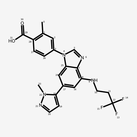 Cc1cc(-n2cnc3c(NCCC(F)(F)F)cc(-c4ccnn4C)cc32)ccc1C(=O)O